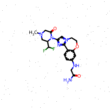 CN1CC(=O)N(c2cn3c(n2)-c2ccc(NCC(N)=O)cc2OCC3)C(C(F)F)C1